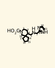 O=C(O)N1CCC(CNCc2ncc[nH]2)C2(CCCC2)C1